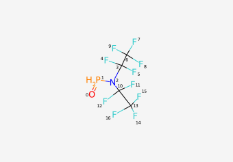 O=[PH2]N(C(F)(F)C(F)(F)F)C(F)(F)C(F)(F)F